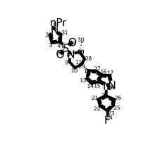 CCCn1ccc(S(=O)(=O)N2CC[C@@H](c3ccc4c(cnn4-c4ccc(F)cc4)c3)C[C@H]2C)c1